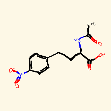 CC(=O)NC(CCc1ccc([N+](=O)[O-])cc1)C(=O)O